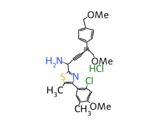 COCc1ccc([C@H](C#CC(N)c2nc(-c3cc(C)c(OC)cc3Cl)c(C)s2)COC)cc1.Cl